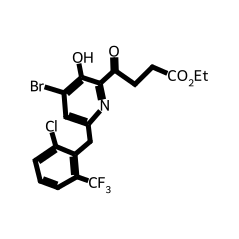 CCOC(=O)CCC(=O)c1nc(Cc2c(Cl)cccc2C(F)(F)F)cc(Br)c1O